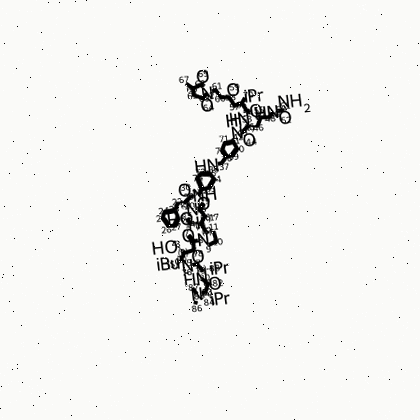 CC[C@H](C)[C@@H]([C@H](CO)CC(=O)N1CCC[C@H]1[C@H](CO)[C@@H](C)C(=O)N[C@@H](Cc1ccccc1)C(=O)Nc1ccc(NCc2ccc(NC(=O)[C@H](CCCNC(N)=O)NC(=O)C(CC(=O)CCN3C(=O)CC(C)C3=O)C(C)C)cc2)cc1)N(C)C(=O)[C@@H](NC(=O)[C@H](C(C)C)N(C)C)C(C)C